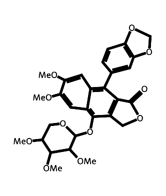 COc1cc2c(OC3OCC(OC)C(OC)C3OC)c3c(c(-c4ccc5c(c4)OCO5)c2cc1OC)C(=O)OC3